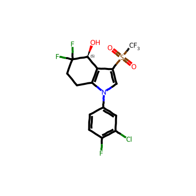 O=S(=O)(c1cn(-c2ccc(F)c(Cl)c2)c2c1[C@H](O)C(F)(F)CC2)C(F)(F)F